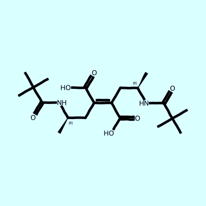 C[C@H](CC(C(=O)O)=C(C[C@@H](C)NC(=O)C(C)(C)C)C(=O)O)NC(=O)C(C)(C)C